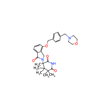 CC1(C)C(=O)NC(=O)C(C)(N2Cc3c(OCc4ccc(CN5CCOCC5)cc4)cccc3C2=O)C1(C)C